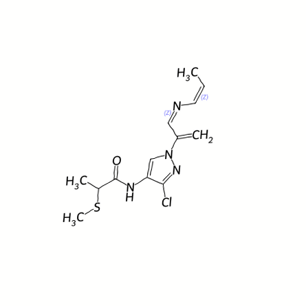 C=C(/C=N\C=C/C)n1cc(NC(=O)C(C)SC)c(Cl)n1